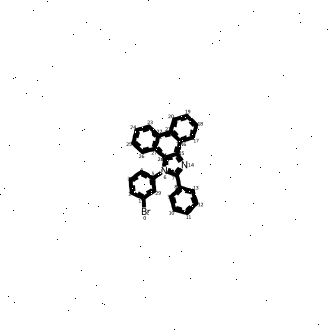 Brc1cccc(-n2c(-c3ccccc3)nc3c4ccccc4c4ccccc4c32)c1